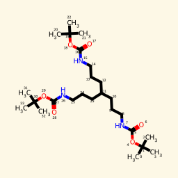 CC(C)(C)OC(=O)NCCCC(CCCNC(=O)OC(C)(C)C)CCCNC(=O)OC(C)(C)C